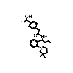 CCCC(NC(=O)Cc1ccc(C(=O)O)cc1)c1ccccc1N1CCCC(C)(C)C1